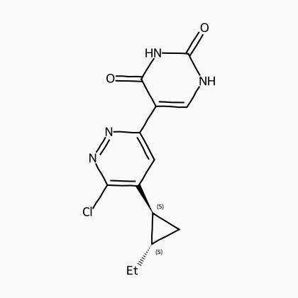 CC[C@H]1C[C@@H]1c1cc(-c2c[nH]c(=O)[nH]c2=O)nnc1Cl